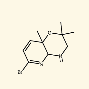 CC1(C)CNC2N=C(Br)C=CC2(C)O1